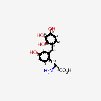 N[C@@H](Cc1ccc(O)cc1Cc1ccc(O)c(O)c1O)C(=O)O